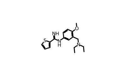 CCN(CC)Cc1cc(NC(=N)c2cccs2)ccc1OC